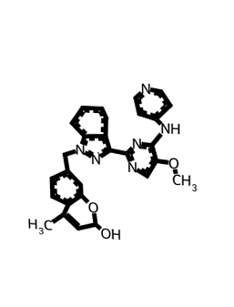 COc1cnc(-c2nn(Cc3ccc4c(c3)OC(O)C=C4C)c3ccccc23)nc1Nc1ccncc1